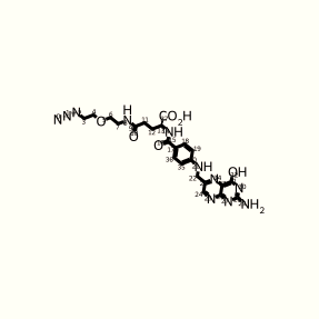 [N-]=[N+]=NCCOCCNC(=O)CC[C@H](NC(=O)c1ccc(NCc2cnc3nc(N)nc(O)c3n2)cc1)C(=O)O